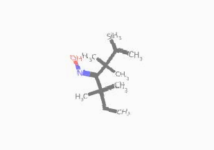 CCC(C)(C)C(=NO)C(C)(C)C(C)[SiH3]